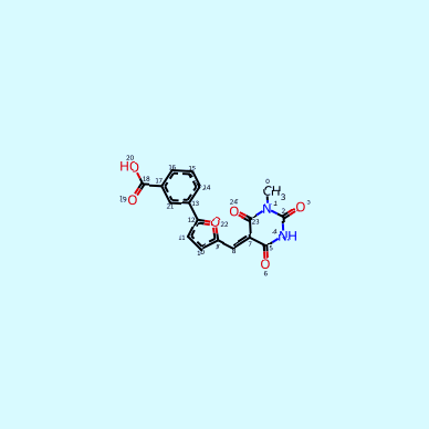 CN1C(=O)NC(=O)C(=Cc2ccc(-c3cccc(C(=O)O)c3)o2)C1=O